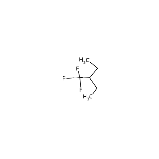 CCC(CC)C(F)(F)F